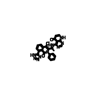 C[C@H](Nc1ncnc2[nH]ccc(=O)c12)c1c(Cl)c2cccc(-c3nnn[nH]3)c2c(=O)n1-c1ccccc1